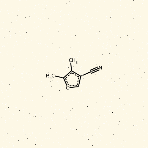 Cc1occ(C#N)c1C